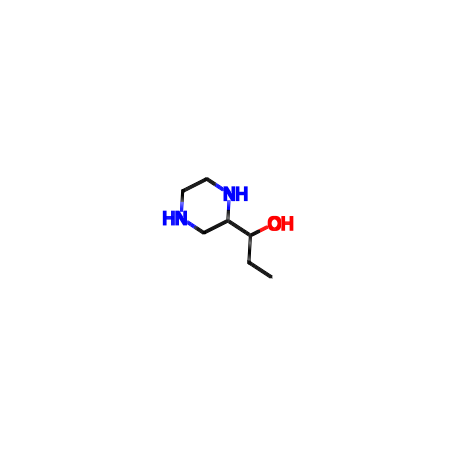 CCC(O)C1CNCCN1